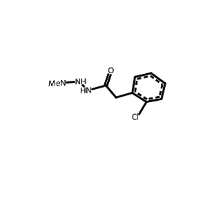 CNNNC(=O)Cc1ccccc1Cl